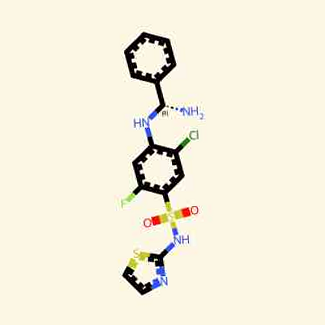 N[C@H](Nc1cc(F)c(S(=O)(=O)Nc2nccs2)cc1Cl)c1ccccc1